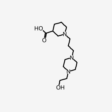 O=C(O)C1CCCN(CCCN2CCN(CCO)CC2)C1